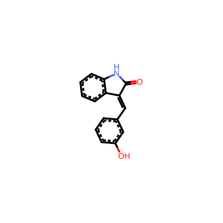 O=C1Nc2ccccc2/C1=C\c1cccc(O)c1